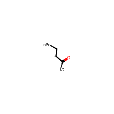 CCCC[CH]C(=O)CC